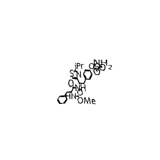 COC(=O)NC(Cc1ccccc1)C(=O)NC(Cc1ccc(OS(N)(=O)=O)cc1)c1csc(C(C)C)n1